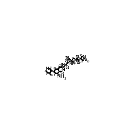 Cc1ccncc1-c1cc(N)c2cnc(NC(=O)C(=O)NC3(C#N)CN(S(=O)(=O)c4cnn(C)c4)C3)cc2c1